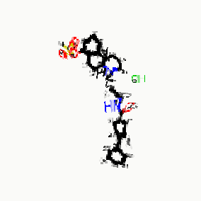 CS(=O)(=O)Oc1cccc2c1CC[C@H]1[C@H]2CCCN1CCCCNC(=O)c1ccc(-c2ccccc2)cc1.Cl